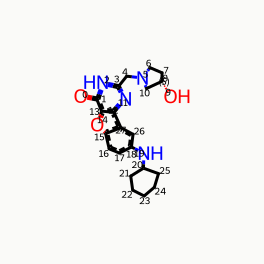 O=c1[nH]c(CN2CC[C@H](O)C2)nc2c1oc1ccc(NC3CCCCC3)cc12